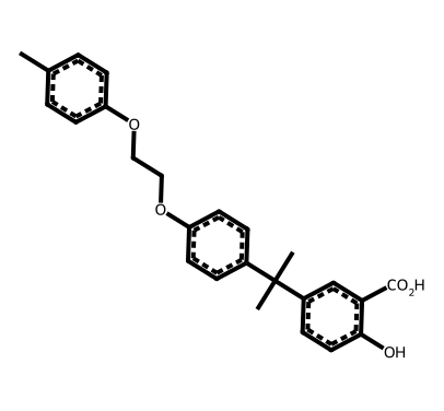 Cc1ccc(OCCOc2ccc(C(C)(C)c3ccc(O)c(C(=O)O)c3)cc2)cc1